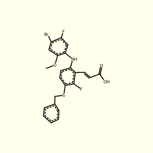 COc1cc(Br)c(F)cc1Nc1ccc(SCc2ccccc2)c(F)c1/C=C/C(=O)O